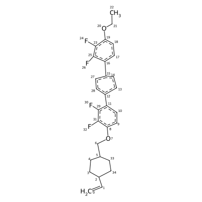 C=CC1CCC(COc2ccc(-c3ccc(-c4ccc(OCC)c(F)c4F)cc3)c(F)c2F)CC1